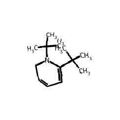 CC(C)(C)C1=CC=CCN1C(C)(C)C